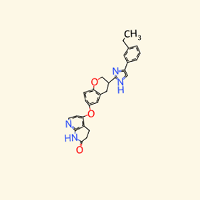 CCc1cccc(-c2c[nH]c(C3COc4ccc(Oc5ccnc6c5CCC(=O)N6)cc4C3)n2)c1